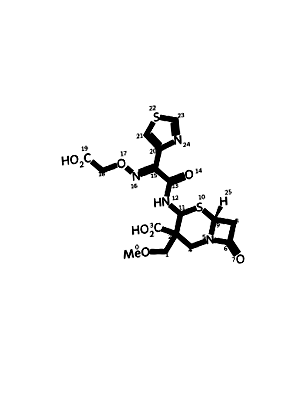 COCC1(C(=O)O)CN2C(=O)C[C@H]2SC1NC(=O)C(=NOCC(=O)O)c1cscn1